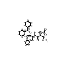 C[C@@H]1OC(=O)N[C@@H]1C(=O)N[C@@H](Cc1cscn1)C(=O)OC(c1ccccc1)c1ccccc1